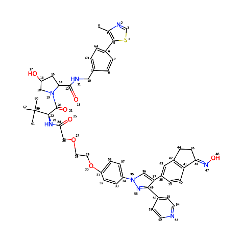 Cc1ncsc1-c1ccc(CNC(=O)C2CC(O)CN2C(=O)[C@@H](NC(=O)COCCOc2ccc(-n3cc(-c4ccc5c(c4)CC/C5=N\O)c(-c4ccncc4)n3)cc2)C(C)(C)C)cc1